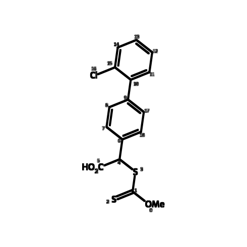 COC(=S)SC(C(=O)O)c1ccc(-c2ccccc2Cl)cc1